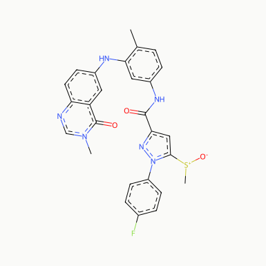 Cc1ccc(NC(=O)c2cc([S+](C)[O-])n(-c3ccc(F)cc3)n2)cc1Nc1ccc2ncn(C)c(=O)c2c1